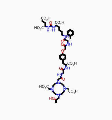 C=C(O)CN1CCN(CC(=O)O)CCN(CC(=O)NCC(=O)N[C@@H](Cc2ccc(OCC(=O)N[C@@H](Cc3ccccc3)C(=O)NCCCC[C@H](NC(=O)N[C@@H](CCC(=O)O)C(=O)O)C(=O)O)cc2)C(=O)O)CCN(CC(=O)O)CC1